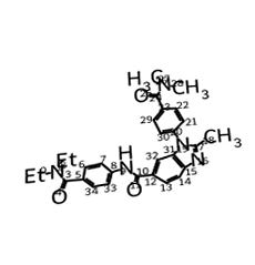 CCN(CC)C(=O)c1ccc(NC(=O)c2ccc3nc(C)n(-c4ccc(C(=O)N(C)C)cc4)c3c2)cc1